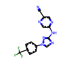 N#Cc1cnc(Nc2ncn(-c3ccc(C(F)(F)F)cc3)n2)cn1